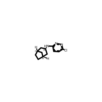 Clc1ccc(N[C@H]2C[C@@H]3CC[C@@H](C3)C2)nn1